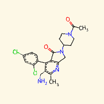 CC(=O)N1CCC(N2Cc3nc(C)c(CN)c(-c4ccc(Cl)cc4Cl)c3C2=O)CC1